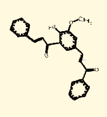 COc1cc(/C=C/C(=O)c2ccccc2)cc(C(=O)C=Cc2ccccc2)c1O